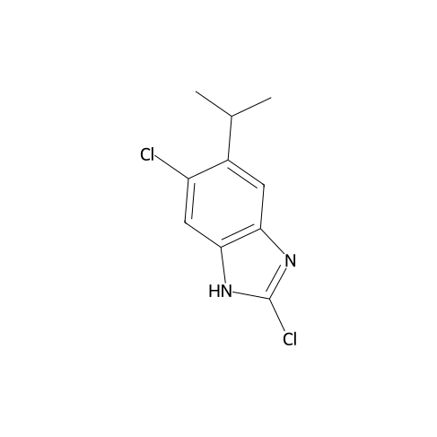 CC(C)c1cc2nc(Cl)[nH]c2cc1Cl